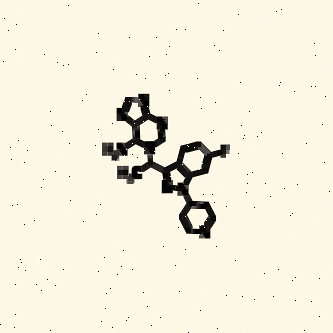 CC(c1nn(-c2ccncc2)c2cc(F)ccc12)n1cnc2ncnc-2c1N